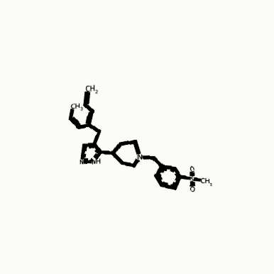 C=C/C=C(\C=C/C)Cc1cn[nH]c1C1CCN(Cc2cccc(S(C)(=O)=O)c2)CC1